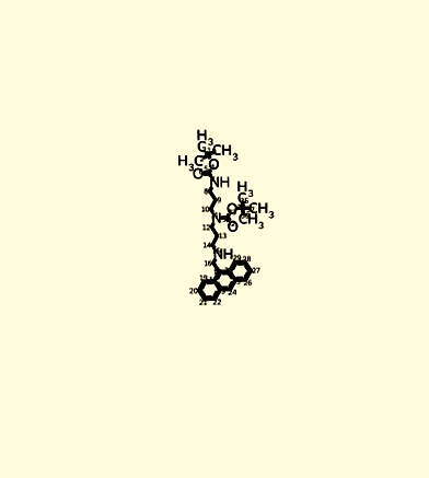 CC(C)(C)OC(=O)NCCCN(CCCNCc1c2ccccc2cc2ccccc12)C(=O)OC(C)(C)C